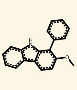 COc1ccc2c([nH]c3ccccc32)c1-c1ccccc1